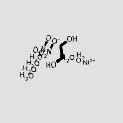 O.O.O.O.O.O.O=[N+]([O-])[O-].O=[N+]([O-])[O-].OCCO.[Ni+2]